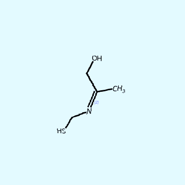 C/C(CO)=N/CS